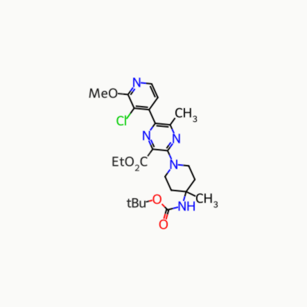 CCOC(=O)c1nc(-c2ccnc(OC)c2Cl)c(C)nc1N1CCC(C)(NC(=O)OC(C)(C)C)CC1